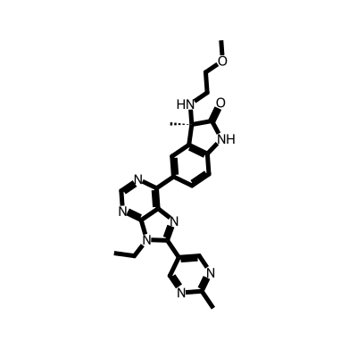 CCn1c(-c2cnc(C)nc2)nc2c(-c3ccc4c(c3)[C@@](C)(NCCOC)C(=O)N4)ncnc21